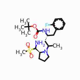 CC(C[C@@H](Cc1ccccc1F)NC(=O)OC(C)(C)C)N1CCC[C@H]1C(N)S(C)(=O)=O